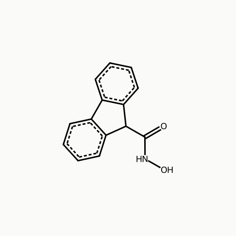 O=C(NO)C1c2ccccc2-c2ccccc21